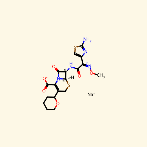 CO/N=C(\C(=O)N[C@@H]1C(=O)N2C(C(=O)[O-])=C(C3CCCCO3)CS[C@H]12)c1csc(N)n1.[Na+]